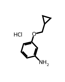 Cl.Nc1cccc(OCC2CC2)c1